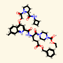 CCOC(=O)N1CCN(C(=O)C(CCC(=O)OCc2ccccc2)NC(=O)c2cc(OCC(=O)N3CCCC3C(=O)NC3CCC3)c3ccc(C)cc3n2)CC1